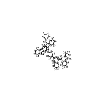 c1ccc2c(c1)cc(-c1nc(-c3ccc(-c4nc(-c5cc6ccccc6c6ccccc56)c5ccccc5n4)cc3)c3oc4ccccc4c3n1)c1ccccc12